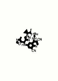 Cc1ncoc1C(Nc1cc(C#N)c2ncc(C#N)c(NCC(C)(C)C)c2c1)c1cn(C2(C(F)F)CC2)nn1